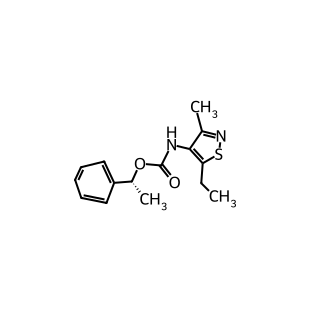 CCc1snc(C)c1NC(=O)O[C@H](C)c1ccccc1